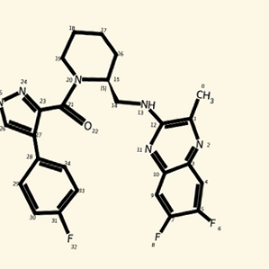 Cc1nc2cc(F)c(F)cc2nc1NC[C@@H]1CCCCN1C(=O)c1n[nH]cc1-c1ccc(F)cc1